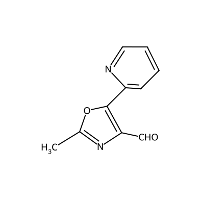 Cc1nc(C=O)c(-c2ccccn2)o1